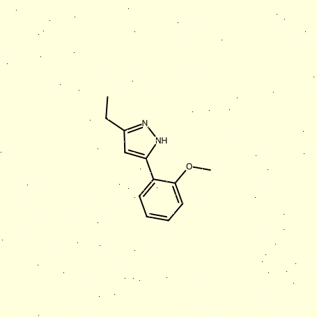 CCc1cc(-c2ccccc2OC)[nH]n1